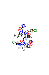 COc1c(-c2c(C(=O)O)ccc(=O)n2Cc2ccno2)nn(C(=O)c2ccns2)c1NCc1ccc(Cl)s1.Cc1cc(=O)n(CC(=O)c2cnccn2)c(-c2cc(SCc3ccc(Cl)s3)n(C(=O)C(C)(C)C)n2)c1C(=O)O